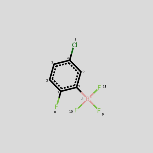 Fc1ccc(Cl)cc1[B-](F)(F)F